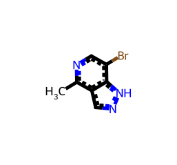 Cc1ncc(Br)c2[nH]ncc12